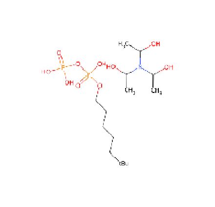 CC(C)(C)CCCCCOP(=O)(O)OP(=O)(O)O.CC(O)N(C(C)O)C(C)O